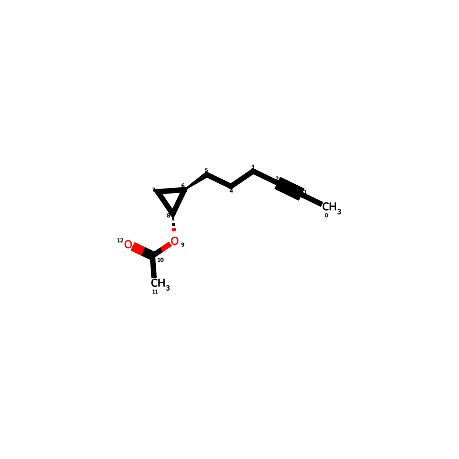 CC#CCCC[C@@H]1C[C@H]1OC(C)=O